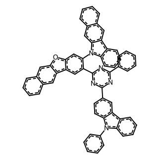 c1ccc(-c2nc(-c3ccc4c(c3)c3ccccc3n4-c3ccccc3)nc(-c3cc4c(cc3-n3c5ccccc5c5cc6ccccc6cc53)oc3cc5ccccc5cc34)n2)cc1